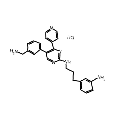 Cl.NCc1cccc(-c2cnc(NCCCc3cccc(N)c3)nc2-c2ccncc2)c1